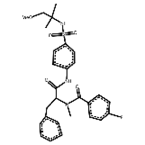 COCC(C)(C)NS(=O)(=O)c1ccc(NC(=O)C(Cc2ccccc2)N(C)C(=O)c2ccc(F)cc2)cc1